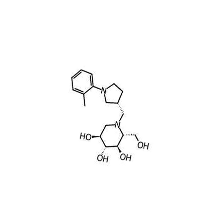 Cc1ccccc1N1CC[C@H](CN2C[C@H](O)[C@@H](O)[C@H](O)[C@H]2CO)C1